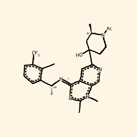 CC(=O)N1CCC(O)(c2cc3/c(=N/[C@H](C)c4cccc(C(F)(F)F)c4C)nc(C)n(C)c3cn2)C[C@H]1C